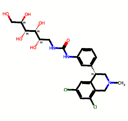 CN1Cc2c(Cl)cc(Cl)cc2[C@H](c2cccc(NC(=O)NC[C@H](O)[C@@H](O)[C@H](O)[C@H](O)CO)c2)C1